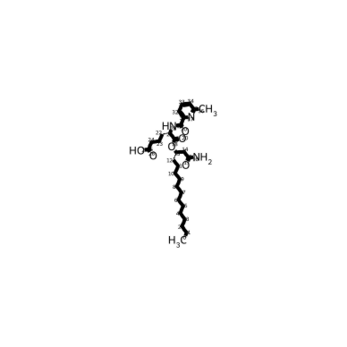 CCCCCCCCCCCCC[C@@H](CC(N)=O)OC(=O)[C@H](CCCC(=O)O)NC(=O)c1cccc(C)n1